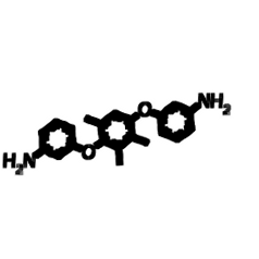 Cc1cc(Oc2cccc(N)c2)c(C)c(C)c1Oc1cccc(N)c1